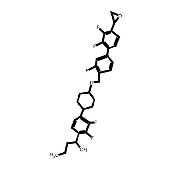 CCCC(O)c1ccc(C2CCC(OCc3ccc(-c4ccc(C5CO5)c(F)c4F)cc3F)CC2)c(F)c1F